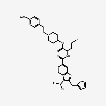 CCC(CC)n1c(Cc2cccs2)nc2cc(C(=O)NC(CCC(C)C)C(=O)NC3CCN(CCc4ccc(OC)cc4)CC3)ccc21